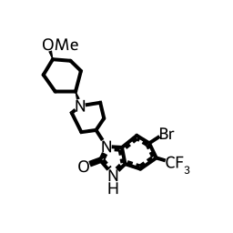 CO[C@H]1CC[C@@H](N2CCC(n3c(=O)[nH]c4cc(C(F)(F)F)c(Br)cc43)CC2)CC1